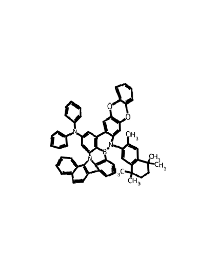 Cc1cc2c(cc1N1B3c4c(cc(N(c5ccccc5)c5ccccc5)cc4-n4c5c3cccc5c3ccc5ccccc5c34)-c3cc4c(cc31)Oc1ccccc1O4)C(C)(C)CCC2(C)C